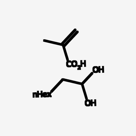 C=C(C)C(=O)O.CCCCCCCC(O)O